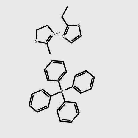 CC1=[NH+]CCS1.CCc1nccs1.c1ccc([B-](c2ccccc2)(c2ccccc2)c2ccccc2)cc1